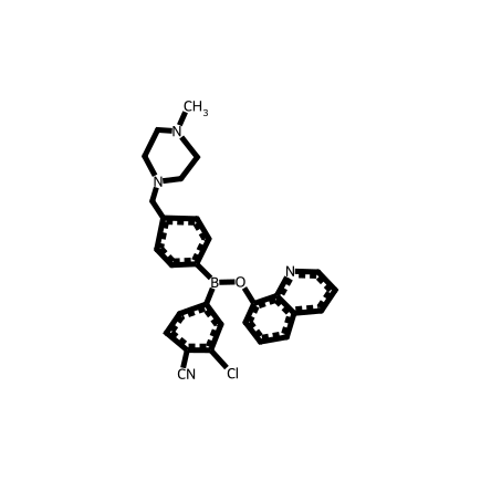 CN1CCN(Cc2ccc(B(Oc3cccc4cccnc34)c3ccc(C#N)c(Cl)c3)cc2)CC1